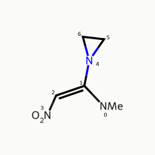 CN/C(=C\[N+](=O)[O-])N1CC1